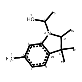 CC(O)N1c2cc(C(F)(F)F)ccc2C(C)(C)C1C